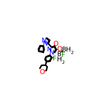 BC(B)(F)Oc1cn(-c2ccc(C3CCOCC3)cc2F)nc(-c2ccnn2-c2ccccc2)c1=O